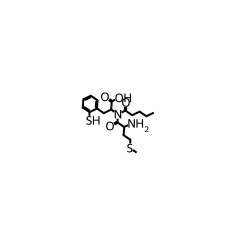 CCCCC(=O)N(C(=O)C(N)CCSC)C(Cc1ccccc1S)C(=O)O